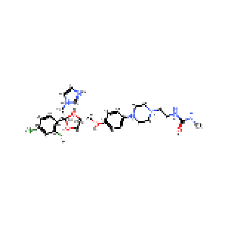 CCNC(=O)NCCN1CCN(c2ccc(OC[C@@H]3CO[C@@](Cn4ccnc4)(c4ccc(Cl)cc4Cl)O3)cc2)CC1